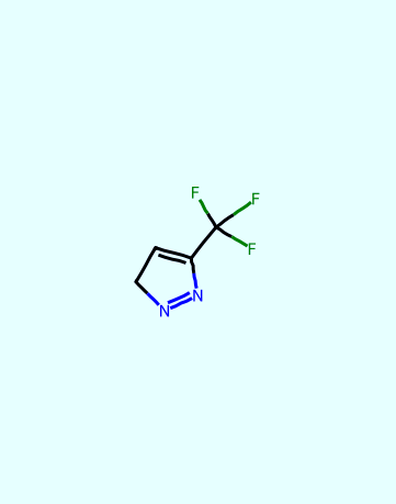 FC(F)(F)C1=CCN=N1